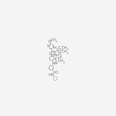 COc1ccc([C@@H](Oc2ccc3c(cnn3-c3cccc(C(=O)NC4CCCC4)c3)c2)[C@@H](COC(C)(C)C)NC(=O)C(C)(F)F)cn1